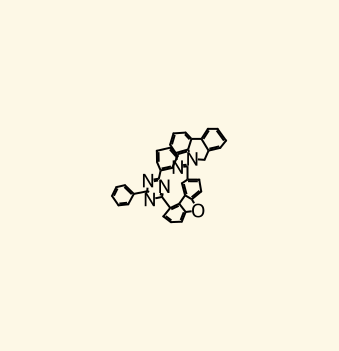 c1ccc(-c2nc(-c3ccccc3)nc(-c3cccc4oc5ccc(-c6nc7cccc8c7n6Cc6ccccc6-8)cc5c34)n2)cc1